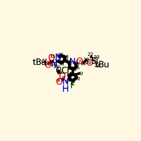 Cc1cc(F)c(NC(=O)OCC(Cl)(Cl)Cl)cc1-c1cc(OCCO[Si](C)(C)C(C)(C)C)nc(-c2ccnc(N(C)C(=O)OC(C)(C)C)c2)c1